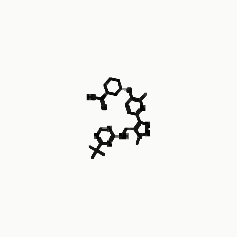 Cc1nc(-c2nnn(C)c2CNc2ncnc(C(C)(C)C)n2)ccc1O[C@H]1CCC[C@H](C(=O)O)C1